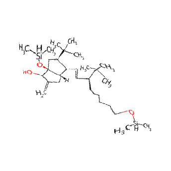 C=C1C[C@H]2[C@@H](C=C[C@H](CCCCCO[SiH](C)C)C(C)(C)C)[C@H](C(C)(C)C)C[C@@]2(O[SiH](C)C)C1O